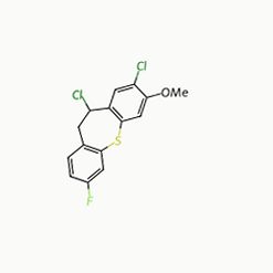 COc1cc2c(cc1Cl)C(Cl)Cc1ccc(F)cc1S2